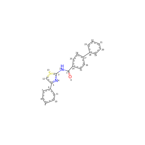 O=C(Nc1nc(-c2ccccc2)cs1)c1ccc(-c2ccccc2)cc1